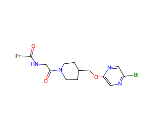 CC(C)C(=O)NCC(=O)N1CCC(COc2cnc(Br)cn2)CC1